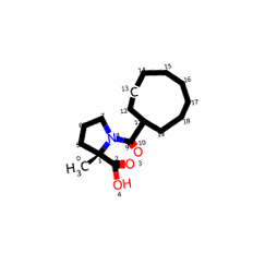 C[C@@]1(C(=O)O)CCCN1C(=O)C1CCCCCCCC1